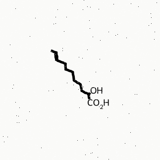 C/C=C/CCCCCCC(O)C(=O)O